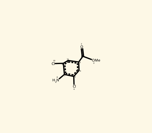 COC(=O)c1cc(Cl)c(N)c(Cl)c1